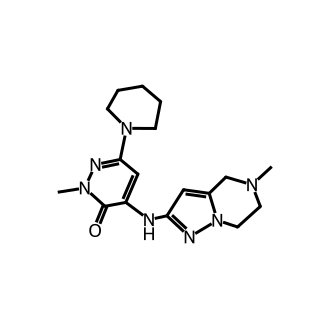 CN1CCn2nc(Nc3cc(N4CCCCC4)nn(C)c3=O)cc2C1